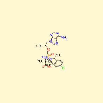 Cc1cc(Cl)ccc1[C@H](C)NP(=O)(CO[C@H](C)Cn1cnc2c(N)ncnc21)NC(C)(C)C(=O)O